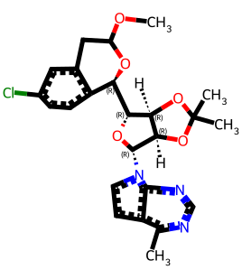 COC1Cc2cc(Cl)ccc2[C@H]([C@H]2O[C@@H](n3ccc4c(C)ncnc43)[C@@H]3OC(C)(C)O[C@@H]32)O1